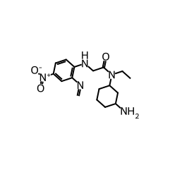 C=Nc1cc([N+](=O)[O-])ccc1NCC(=O)N(CC)C1CCCC(N)C1